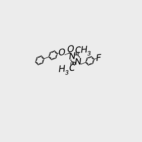 C[C@@H]1CN(C(=O)COc2ccc(-c3ccccc3)cc2)[C@@H](C)CN1Cc1ccc(F)cc1